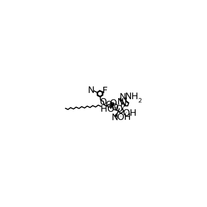 CCCCCCCCCCCCCC[C@@H](COP(=O)(O)OC[C@@]1(C#N)O[C@@H](C2CC=C3C(N)=NC=NN32)[C@H](O)[C@@H]1O)OCc1cc(F)cc(C#N)c1